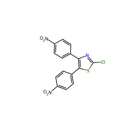 O=[N+]([O-])c1ccc(-c2nc(Cl)sc2-c2ccc([N+](=O)[O-])cc2)cc1